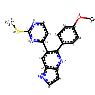 COc1ccc(-c2nc3cc[nH]c3cc2-c2ccnc(SC)n2)cc1